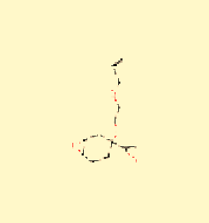 C=CCOCCOC1(C2CO2)CCC2OC2C1